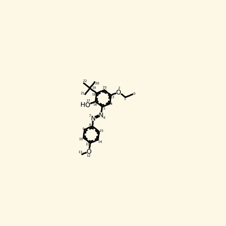 CCOc1cc(N=Nc2ccc(OC)cc2)c(O)c(C(C)(C)C)c1